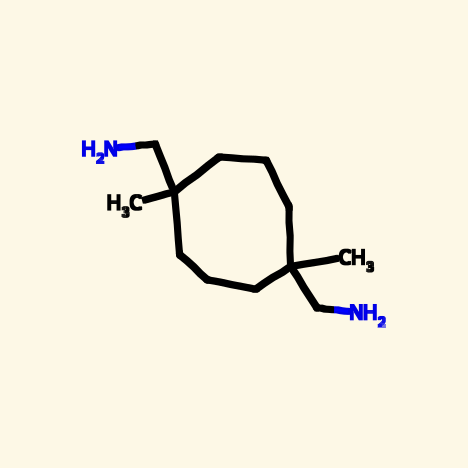 CC1(CN)CCCC(C)(CN)CCC1